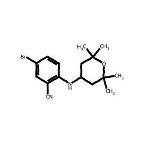 CC1(C)CC(Nc2ccc(Br)cc2C#N)CC(C)(C)O1